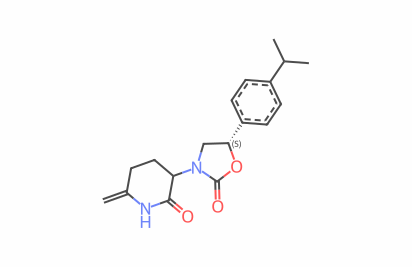 C=C1CCC(N2C[C@H](c3ccc(C(C)C)cc3)OC2=O)C(=O)N1